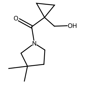 CC1(C)CCN(C(=O)C2(CO)CC2)C1